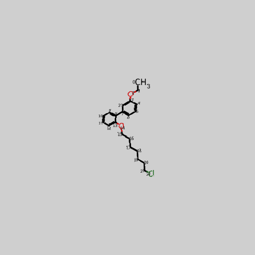 CCOc1cccc(-c2ccccc2OCCCCCCCCl)c1